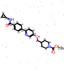 CC(C)(C)OC(=O)N1CCC(COc2ccc(-c3ccc(C(=O)NC4CC4)cc3)nc2)CC1